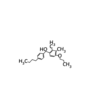 CCCCc1ccc(C(O)c2ccc(OCCC)c(C)c2C)cc1